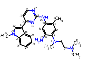 Cc1cc(N(C)CCN(C)C)c(N)cc1Nc1nccc(-c2cn(C)c3ccccc23)n1